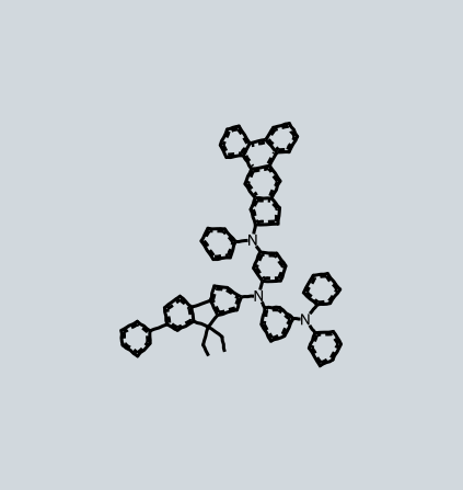 CCC1(CC)c2cc(-c3ccccc3)ccc2-c2ccc(N(c3cccc(N(c4ccccc4)c4ccccc4)c3)c3cccc(N(c4ccccc4)c4ccc5cc6c7ccccc7c7ccccc7c6cc5c4)c3)cc21